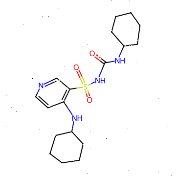 O=C(NC1CCCCC1)NS(=O)(=O)c1cnccc1NC1CCCCC1